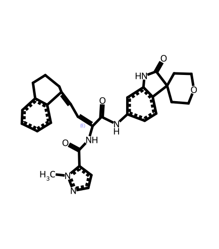 Cn1nccc1C(=O)N/C(=C/C=C1CCCc2ccccc21)C(=O)Nc1ccc2c(c1)NC(=O)C21CCOCC1